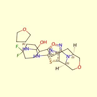 OC(Nc1nc2c(s1)[C@@H]1COC[C@H](C2)N1c1cc(C2CCC(F)(F)CC2)on1)N[C@@H]1CCOC1